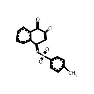 Cc1ccc(S(=O)(=O)/N=C2\C=C(Cl)C(=O)c3ccccc32)cc1